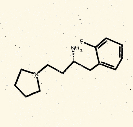 N[C@@H](CCN1CCCC1)Cc1ccccc1F